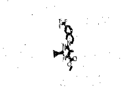 CCOC(=O)c1nc(C2CC2)nc(N2CCc3ccc(C(F)(F)F)cc3C2)c1C